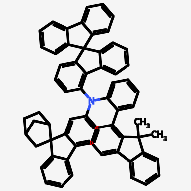 CC1(C)c2ccccc2-c2cccc(-c3ccccc3N(c3ccc4c(c3)C3(CC5CCC3C5)c3ccccc3-4)c3cccc4c3-c3ccccc3C43c4ccccc4-c4ccccc43)c21